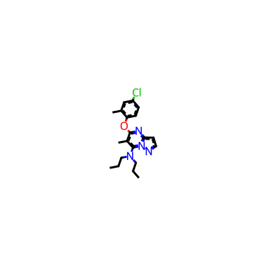 CCCN(CCC)c1c(C)c(Oc2ccc(Cl)cc2C)nc2ccnn12